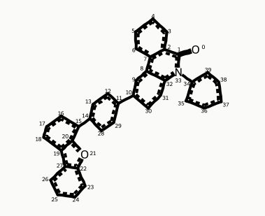 O=c1c2ccccc2c2cc(-c3ccc(-c4cccc5c4oc4ccccc45)cc3)ccc2n1-c1ccccc1